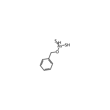 S=[AsH](S)OCc1ccccc1